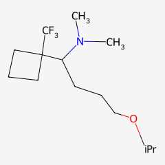 CC(C)OCCCC(N(C)C)C1(C(F)(F)F)CCC1